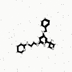 FC1(c2cc(OCc3ccccc3)cc(OCCOC3CCCCO3)n2)COC1